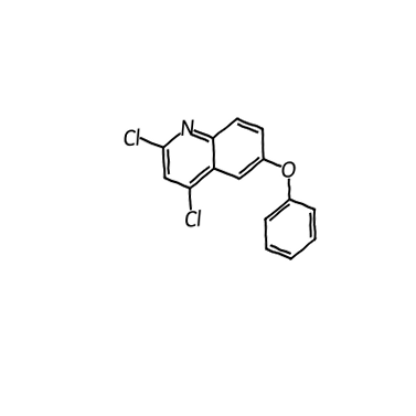 Clc1cc(Cl)c2cc(Oc3ccccc3)ccc2n1